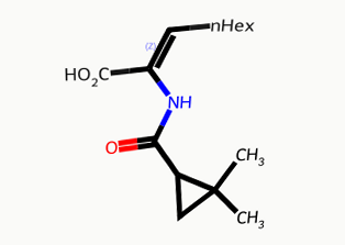 CCCCCC/C=C(\NC(=O)C1CC1(C)C)C(=O)O